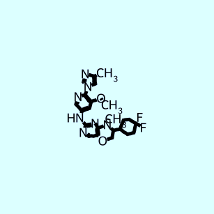 COc1cc(Nc2ncc3c(n2)N(C)C(C2CCC(F)(F)CC2)CO3)cnc1-n1cnc(C)c1